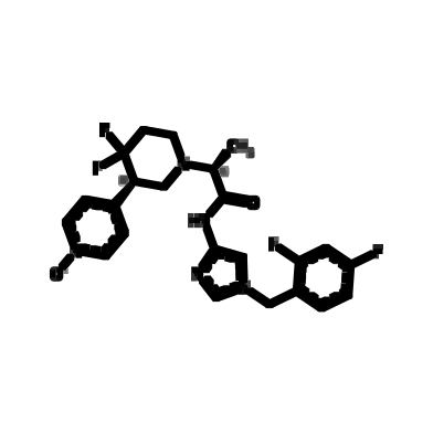 C[C@@H](C(=O)Nc1cn(Cc2ccc(F)cc2F)cn1)N1CCC(F)(F)[C@H](c2cc[n+]([O-])cc2)C1